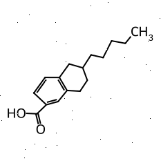 CCCCCC1CCc2cc(C(=O)O)ccc2C1